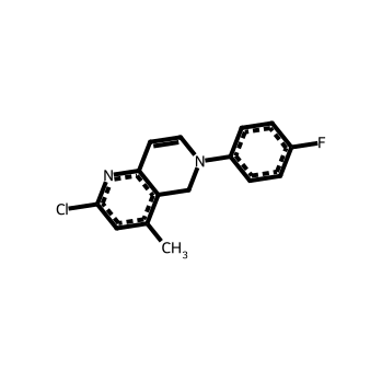 Cc1cc(Cl)nc2c1CN(c1ccc(F)cc1)C=C2